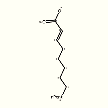 CCCCCCCCCC/C=C/C([O])=O